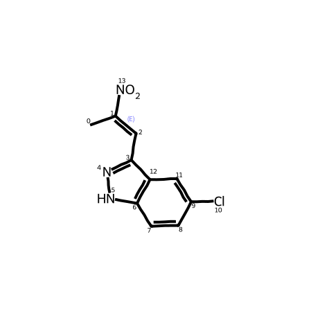 C/C(=C\c1n[nH]c2ccc(Cl)cc12)[N+](=O)[O-]